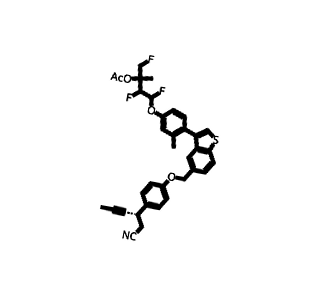 CC#C[C@@H](CC#N)c1ccc(OCc2ccc3scc(-c4ccc(OC(F)C(F)C(C)(CF)OC(C)=O)cc4C)c3c2)cc1